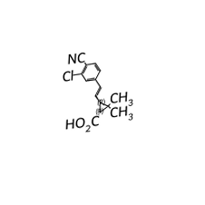 CC1(C)[C@H](C=Cc2ccc(C#N)c(Cl)c2)[C@H]1C(=O)O